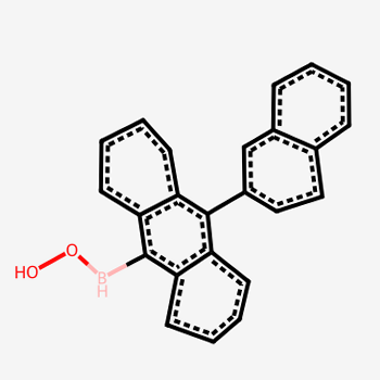 OOBc1c2ccccc2c(-c2ccc3ccccc3c2)c2ccccc12